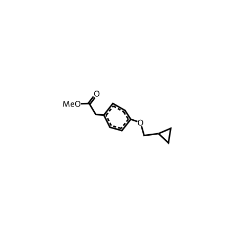 COC(=O)Cc1ccc(OCC2CC2)cc1